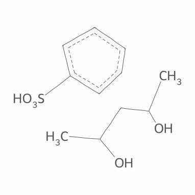 CC(O)CC(C)O.O=S(=O)(O)c1ccccc1